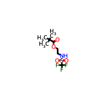 CC(C)(C)C(=O)OCCNS(=O)(=O)C(F)(F)F